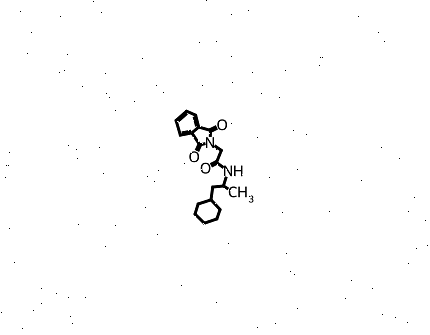 CC(CC1CCCCC1)NC(=O)CN1C(=O)c2ccccc2C1=O